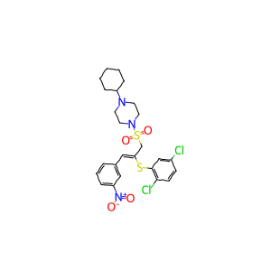 O=[N+]([O-])c1cccc(C=C(CS(=O)(=O)N2CCN(C3CCCCC3)CC2)Sc2cc(Cl)ccc2Cl)c1